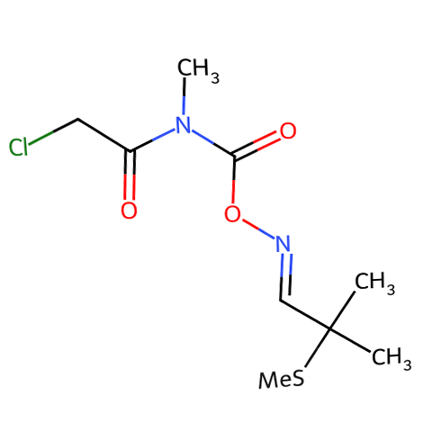 CSC(C)(C)C=NOC(=O)N(C)C(=O)CCl